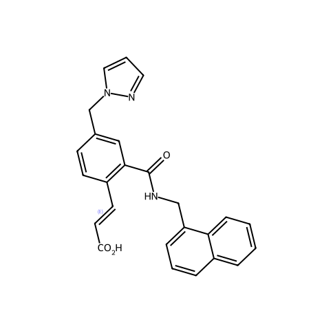 O=C(O)/C=C/c1ccc(Cn2cccn2)cc1C(=O)NCc1cccc2ccccc12